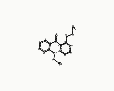 O=C(c1ccccc1OCC(F)(F)F)c1ccccc1OCC(F)(F)F